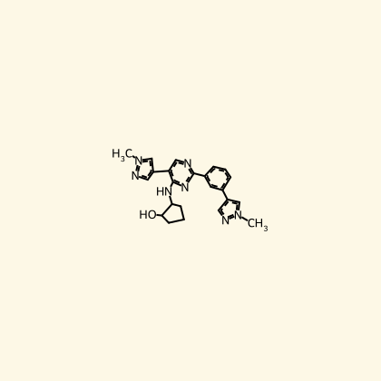 Cn1cc(-c2cccc(-c3ncc(-c4cnn(C)c4)c(NC4CCCC4O)n3)c2)cn1